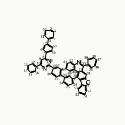 c1ccc(-c2ccc(-c3cc(-c4ccccc4)nc(-c4ccc(-c5cccc(-c6c7c(cc8c(-c9ccccc9)nc9ccccc9c68)oc6ccccc67)c5)cc4)n3)cc2)cc1